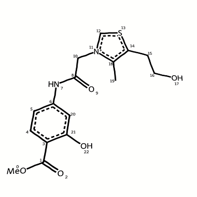 COC(=O)c1ccc(NC(=O)C[n+]2csc(CCO)c2C)cc1O